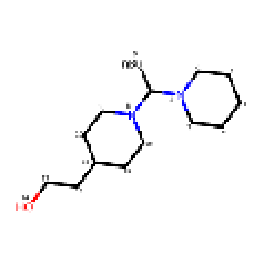 CCCCC(N1CCCCC1)N1CCC(CCO)CC1